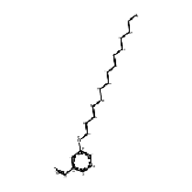 CCCCCCCCCCCCCCCOc1cccc([C]=O)c1